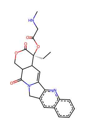 CC[C@@]1(OC(=O)CNC)C(=O)OCC2C(=O)N3Cc4cc5ccccc5nc4C3=CC21